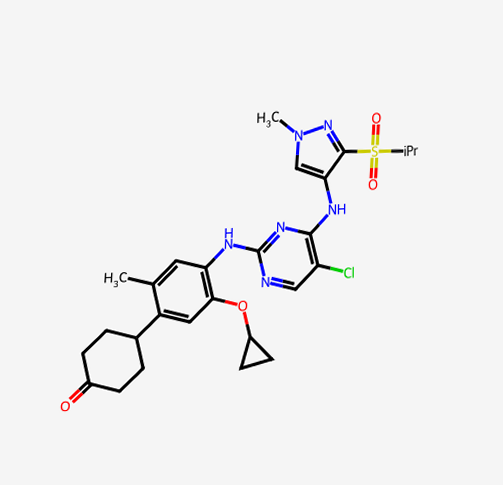 Cc1cc(Nc2ncc(Cl)c(Nc3cn(C)nc3S(=O)(=O)C(C)C)n2)c(OC2CC2)cc1C1CCC(=O)CC1